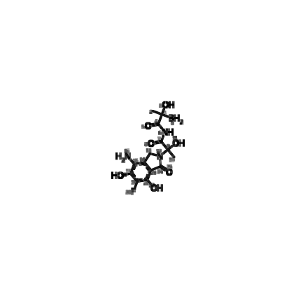 BC(C)(O)C(=O)NC(=O)C(C)(O)N1Cc2c(N)c(O)c(F)c(O)c2C1=O